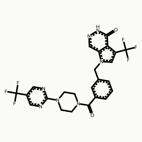 O=C(c1cccc(Cn2cc(C(F)(F)F)c3c(=O)[nH]ncc32)c1)N1CCN(c2ncc(C(F)(F)F)cn2)CC1